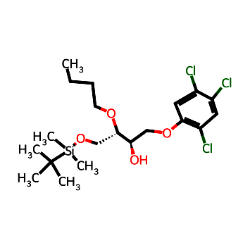 CCCCO[C@@H](CO[Si](C)(C)C(C)(C)C)[C@H](O)COc1cc(Cl)c(Cl)cc1Cl